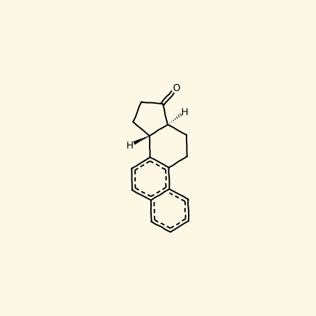 O=C1CC[C@H]2c3ccc4ccccc4c3CC[C@H]12